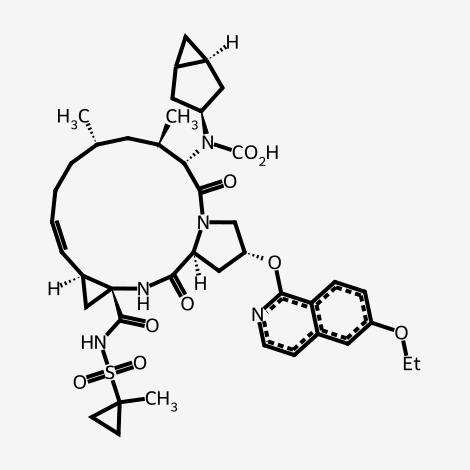 CCOc1ccc2c(O[C@@H]3C[C@H]4C(=O)N[C@]5(C(=O)NS(=O)(=O)C6(C)CC6)C[C@H]5/C=C\CC[C@H](C)C[C@@H](C)[C@H](N(C(=O)O)[C@H]5CC6C[C@H]6C5)C(=O)N4C3)nccc2c1